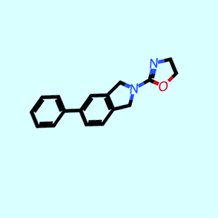 c1ccc(-c2ccc3c(c2)CN(C2=NCCO2)C3)cc1